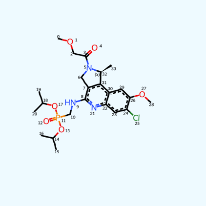 COCC(=O)N1Cc2c(NCP(=O)(OC(C)C)OC(C)C)nc3cc(Cl)c(OC)cc3c2[C@@H]1C